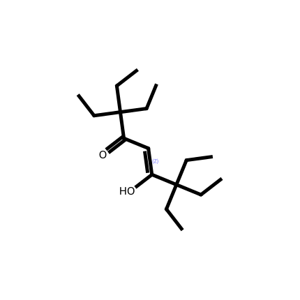 CCC(CC)(CC)C(=O)/C=C(\O)C(CC)(CC)CC